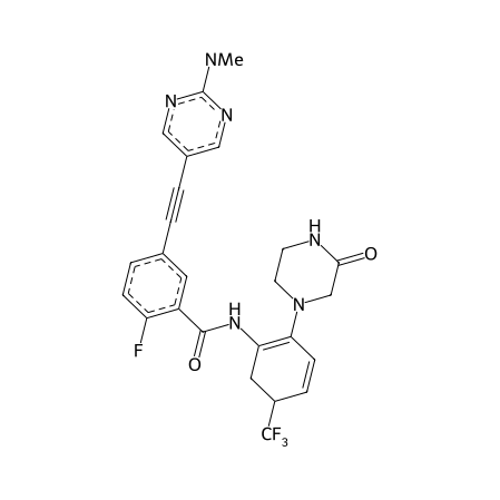 CNc1ncc(C#Cc2ccc(F)c(C(=O)NC3=C(N4CCNC(=O)C4)C=CC(C(F)(F)F)C3)c2)cn1